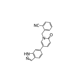 N#Cc1ccccc1Cn1cc(-c2ccc3cn[nH]c3c2)ccc1=O